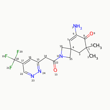 CC1(C)CC2(C=C(N)C1=O)CN(C(=O)Cc1cc(C(F)(F)F)cnn1)C2